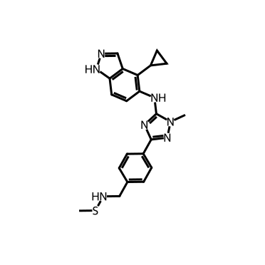 CSNCc1ccc(-c2nc(Nc3ccc4[nH]ncc4c3C3CC3)n(C)n2)cc1